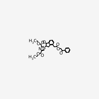 CCOC(=O)c1cn(C2Cc3c(CC(=O)OCC(=O)c4ccccc4)cccc3C2=O)c(C(=O)OCC)n1